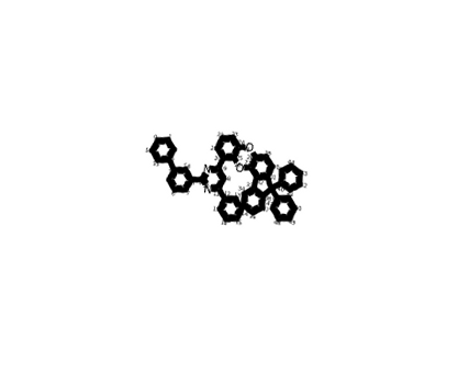 c1ccc(-c2cccc(-c3nc(-c4ccccc4)cc(-c4cccc5c4Oc4c(ccc6c4-c4ccccc4C6(c4ccccc4)c4ccccc4)O5)n3)c2)cc1